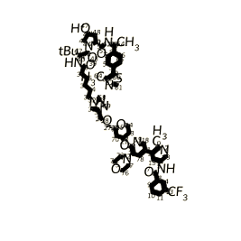 Cc1ncc(NC(=O)c2cccc(C(F)(F)F)c2)cc1-c1cnc(O[C@@H]2CCO[C@@H](COCc3cn(CCCCCC(=O)N[C@@H](C(=O)N4C[C@H](O)C[C@H]4C(=O)N[C@@H](C)c4ccc(-c5scnc5C)cc4)C(C)(C)C)nn3)C2)c(N2CCOCC2)c1